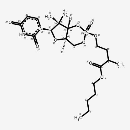 CCCCCOC(=O)C(C)CCO[P@@]1(=O)OC[C@H]2O[C@@H](n3ccc(=O)[nH]c3=O)[C@](C)(N)[C@@H]2O1